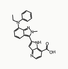 CCN(c1ccccc1)c1cccc2c(-c3cc4nccc(C(=O)O)c4[nH]3)n(C)nc12